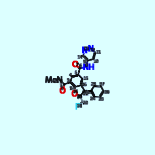 CNC(=O)c1cc(C(=O)Nc2ccnnc2)cc2c1O[C@@H](CF)[C@@H]2c1ccccc1